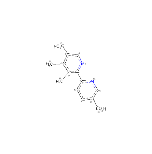 Cc1c(C(=O)O)cnc(-c2ccc(C(=O)O)cn2)c1C